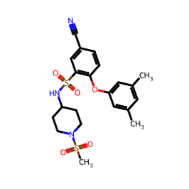 Cc1cc(C)cc(Oc2ccc(C#N)cc2S(=O)(=O)NC2CCN(S(C)(=O)=O)CC2)c1